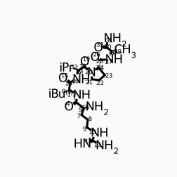 CCC(C)[C@H](NC(=O)[C@@H](N)CCCNC(=N)N)C(=O)N[C@H](C(=O)N1CCC[C@H]1C(=O)N[C@@H](C)C(N)=O)C(C)C